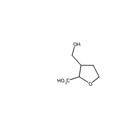 O=C(O)C1OCCC1CO